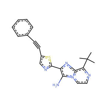 CC(C)(C)c1nccn2c(N)c(-c3ncc(C#Cc4ccccc4)s3)nc12